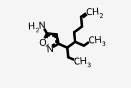 C=CCCC(CC)C(CC)c1cc(N)on1